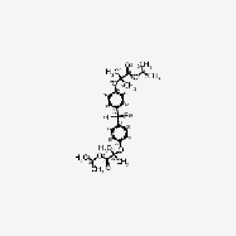 CC(C)OC(=O)C(C)(C)Oc1ccc(C(F)(F)c2ccc(OC(C)(C)C(=O)OC(C)C)cc2)cc1